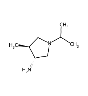 CC(C)N1C[C@H](C)[C@@H](N)C1